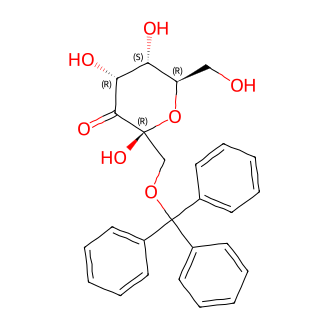 O=C1[C@H](O)[C@H](O)[C@@H](CO)O[C@]1(O)COC(c1ccccc1)(c1ccccc1)c1ccccc1